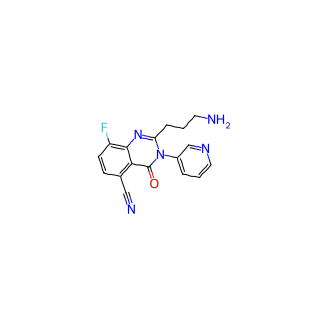 N#Cc1ccc(F)c2nc(CCCN)n(-c3cccnc3)c(=O)c12